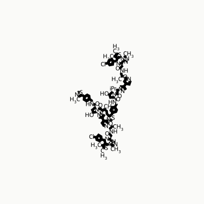 Cc1ncsc1-c1ccc(CNC(=O)[C@@H]2C[C@@H](O)CN2C(=O)[C@H]([C@H](C)CCc2ncsc2-c2ccc(CNC(=O)[C@@H]3C[C@@H](O)CN3C(=O)[C@@H](C(C)C)n3cc(-c4ccnc(O[C@H](C)CNC(=O)C[C@@H]5N=C(c6ccc(Cl)cc6)c6c(sc(C)c6C)-n6c(C)nnc65)c4)cn3)cc2)n2cc(-c3ccnc(O[C@H](C)CNC(=O)C[C@@H]4N=C(c5ccc(Cl)cc5)c5c(sc(C)c5C)-n5c(C)nnc54)c3)cn2)cc1